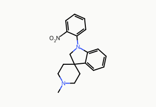 CN1CCC2(CC1)CN(c1ccccc1[N+](=O)[O-])c1ccccc12